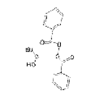 CC(C)(C)OO.O=C(OOC(=O)c1ccccc1)c1ccccc1